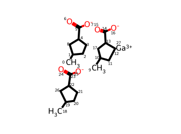 CC1CCC(C(=O)[O-])C1.CC1CCC(C(=O)[O-])C1.CC1CCC(C(=O)[O-])C1.[Ga+3]